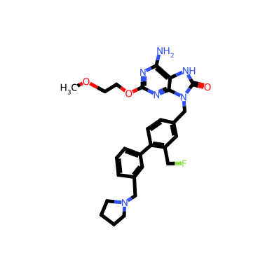 COCCOc1nc(N)c2[nH]c(=O)n(Cc3ccc(-c4cccc(CN5CCCC5)c4)c(CF)c3)c2n1